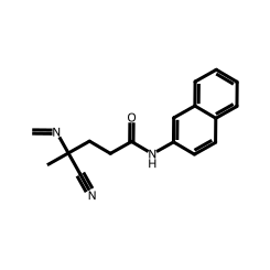 C=NC(C)(C#N)CCC(=O)Nc1ccc2ccccc2c1